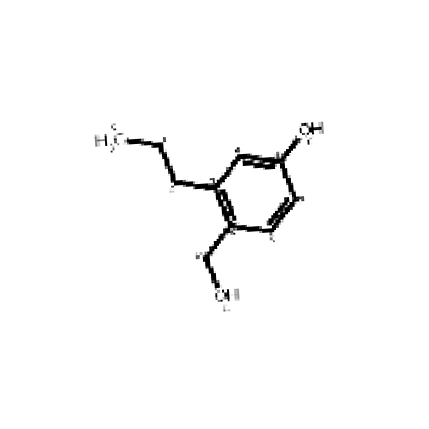 CCCc1cc(O)ccc1CO